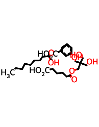 CCCCCCCCC(=O)O.O=C(O)CCCCC(=O)OCC(CO)(CO)CO.O=C(O)c1ccccc1